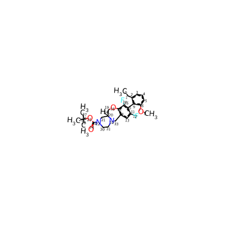 CCc1cccc(OC)c1-c1c(F)cc2c(c1F)OC[C@H]1CN(C(=O)OC(C)(C)C)CCN1C2